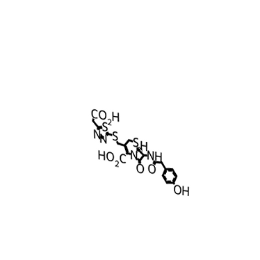 O=C(O)Cc1nnc(SCC2=C(C(=O)O)N3C(=O)C(NC(=O)Cc4ccc(O)cc4)[C@@H]3SC2)s1